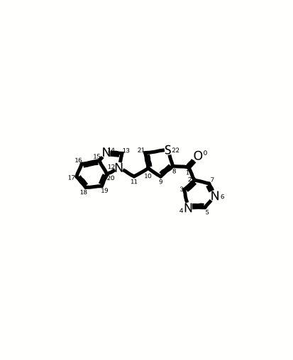 O=C(c1cncnc1)c1cc(Cn2cnc3ccccc32)cs1